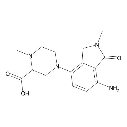 CN1Cc2c(N3CCN(C)C(C(=O)O)C3)ccc(N)c2C1=O